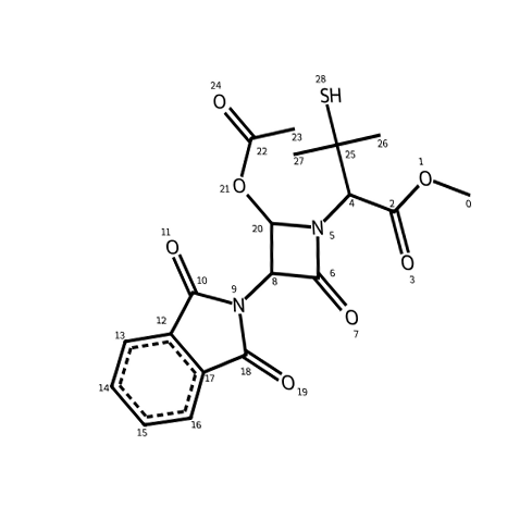 COC(=O)C(N1C(=O)C(N2C(=O)c3ccccc3C2=O)C1OC(C)=O)C(C)(C)S